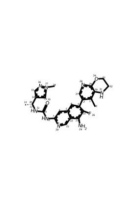 Cc1c(-c2cc3cc(NC(=O)N[C@H](C)c4cnn(C)c4)ncc3c(N)c2F)cnc2c1NCCO2